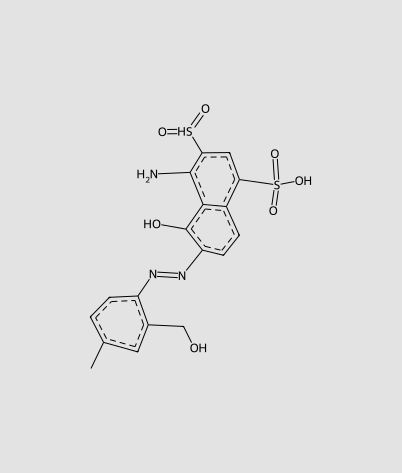 Cc1ccc(N=Nc2ccc3c(S(=O)(=O)O)cc([SH](=O)=O)c(N)c3c2O)c(CO)c1